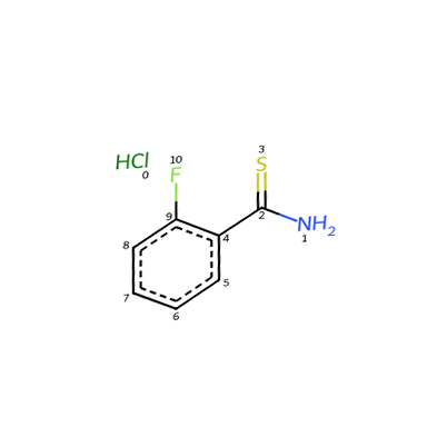 Cl.NC(=S)c1ccccc1F